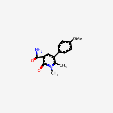 COc1ccc(-c2cc(C(N)=O)c(=O)n(C)c2C)cc1